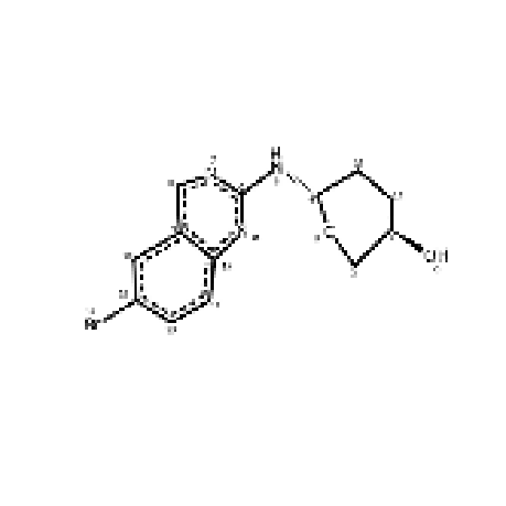 O[C@H]1CC[C@H](Nc2ncc3cc(Br)ccc3n2)CC1